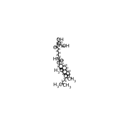 CC(C)CCC[C@@H](C)C1CCC2C3CCC4C[C@@H](OC(=O)NCCCCCC(=O)N5C[C@H](O)C[C@H]5CO)CC[C@]4(C)C3CC[C@@]21C